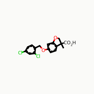 CC1(C(=O)O)COc2cc(OCc3ccc(Cl)cc3Cl)ccc21